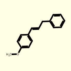 COc1ccc(C=CCc2ccccc2)cc1